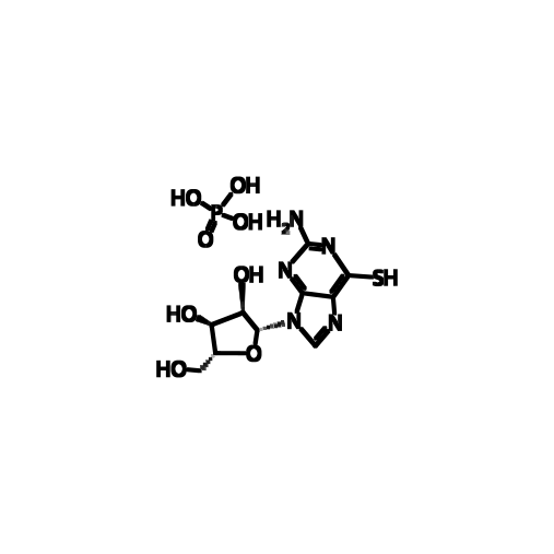 Nc1nc(S)c2ncn([C@@H]3O[C@H](CO)[C@@H](O)[C@H]3O)c2n1.O=P(O)(O)O